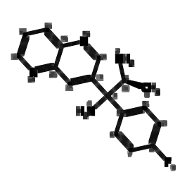 C[C@H](N)C(N)(c1ccc(F)cc1)c1cnc2cccnc2c1